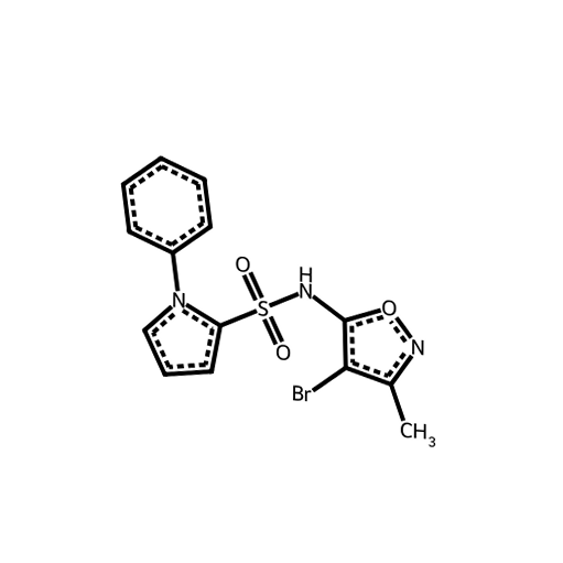 Cc1noc(NS(=O)(=O)c2cccn2-c2ccccc2)c1Br